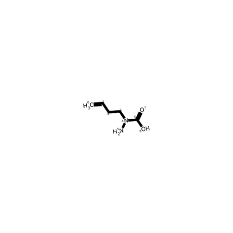 C=CCCN(N)C(=O)O